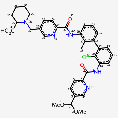 COC(OC)c1ccc(C(=O)Nc2cccc(-c3cccc(NC(=O)c4ccc(CN5CCCCC5C(=O)O)cn4)c3C)c2Cl)nc1